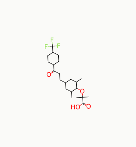 CC1CC(CCC(=O)C2CCC(C(F)(F)F)CC2)CC(C)C1OC(C)(C)C(=O)O